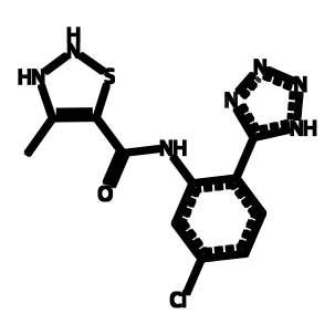 CC1=C(C(=O)Nc2cc(Cl)ccc2-c2nnn[nH]2)SNN1